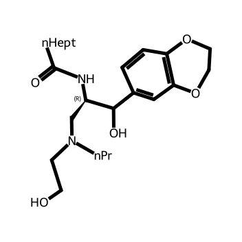 CCCCCCCC(=O)N[C@H](CN(CCC)CCO)C(O)c1ccc2c(c1)OCCO2